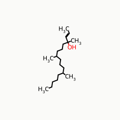 CC=CC(C)(O)CCCC(C)CCCC(C)CCCCC